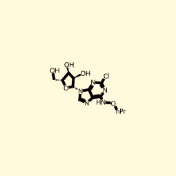 CCCONc1nc(Cl)nc2c1ncn2[C@@H]1O[C@H](CO)[C@@H](O)[C@H]1O